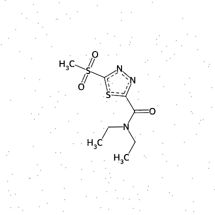 CCN(CC)C(=O)c1nnc(S(C)(=O)=O)s1